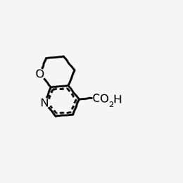 O=C(O)c1ccnc2c1CCCO2